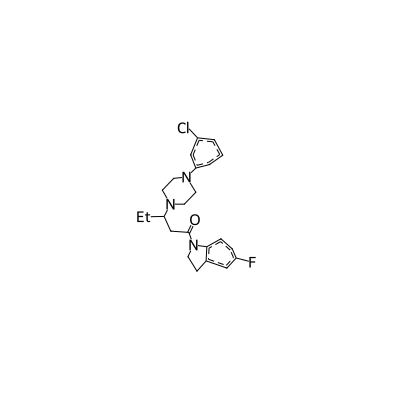 CCC(CC(=O)N1CCc2cc(F)ccc21)N1CCN(c2cccc(Cl)c2)CC1